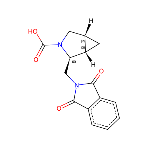 O=C1c2ccccc2C(=O)N1C[C@@H]1[C@H]2C[C@H]2CN1C(=O)O